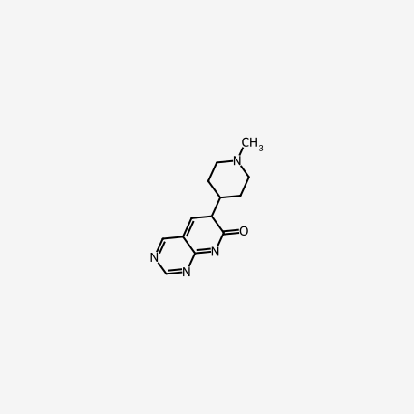 CN1CCC(C2C=c3cncnc3=NC2=O)CC1